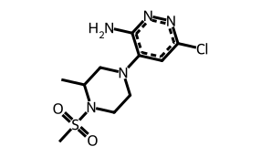 CC1CN(c2cc(Cl)nnc2N)CCN1S(C)(=O)=O